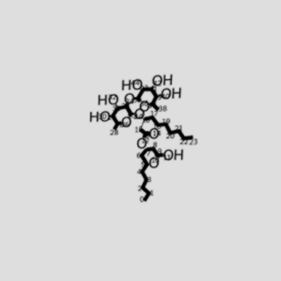 CCCCCCCC(CC(=O)O)OC(=O)C[C@@H](CCCCCCC)O[C@@H]1OC(C)[C@H](O)[C@H](O)C1O[C@@H]1OC(C)[C@H](O)[C@H](O)C1O